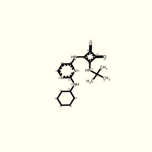 CC(C)(C)Nc1c(Nc2ccnc(NC3CCCCC3)n2)c(=O)c1=O